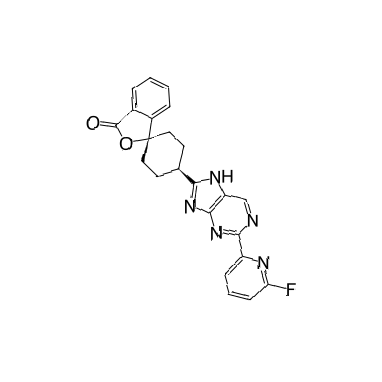 O=C1O[C@]2(CC[C@H](c3nc4nc(-c5cccc(F)n5)ncc4[nH]3)CC2)c2ccccc21